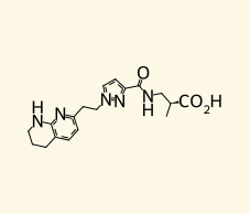 C[C@@H](CNC(=O)c1ccn(CCc2ccc3c(n2)NCCC3)n1)C(=O)O